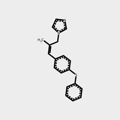 CC(=Cc1ccc(Sc2ccccc2)cc1)Cn1ccnc1